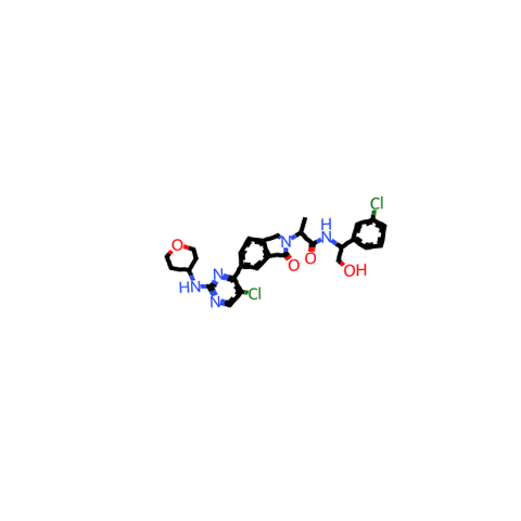 CC(C(=O)NC(CO)c1cccc(Cl)c1)N1Cc2ccc(-c3nc(NC4CCOCC4)ncc3Cl)cc2C1=O